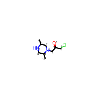 CC1CN(CC(=O)CCl)C(C)CN1